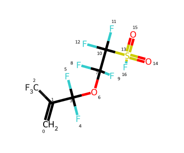 C=C(C(F)(F)F)C(F)(F)OC(F)(F)C(F)(F)S(=O)(=O)F